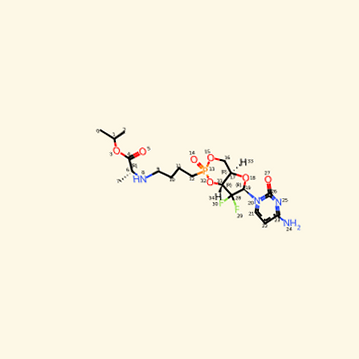 CC(C)OC(=O)[C@@H](C)NCCCCP1(=O)OC[C@H]2O[C@@H](n3ccc(N)nc3=O)C(F)(F)[C@@H]2O1